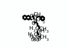 C[C@H](CNC(C)(C)CC=CC(=O)N(C)[C@H](Cc1ccc2ccccc2c1)C(=O)N(C)CCc1ccccc1)O[Si](C)(C)OC(C)(C)C